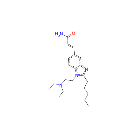 CCCCCc1nc2cc(/C=C/C(N)=O)ccc2n1CCN(CC)CC